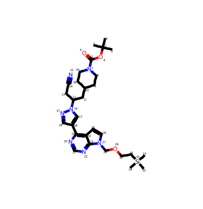 CC(C)(C)OC(=O)N1CCC(CC(CC#N)n2cc(-c3ncnc4c3ccn4COCC[Si](C)(C)C)cn2)CC1